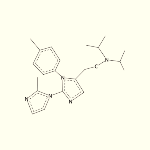 Cc1ccc(-n2c(CCN(C(C)C)C(C)C)cnc2-n2ccnc2C)cc1